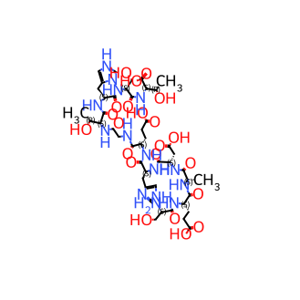 C[C@H](NC(=O)[C@H](CCC(=O)O)NC(=O)[C@@H](N)CO)C(=O)N[C@@H](CC(=O)O)C(=O)N[C@@H](Cc1c[nH]cn1)C(=O)N[C@@H](CCC(=O)O)C(=O)NCC(=O)N[C@H](C(=O)N[C@@H](Cc1c[nH]cn1)C(=O)N[C@@H](CO)C(=O)N[C@H](C(=O)O)[C@@H](C)O)[C@@H](C)O